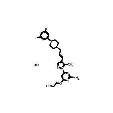 Cc1c(/C=C/CN2CCN(c3cc(F)cc(F)c3)CC2)cnn1-c1cc(OCCO)nc(N)n1.Cl